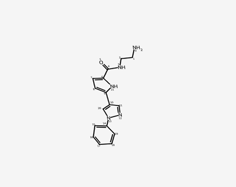 NCCNC(=O)c1ccc(-c2cnn(-c3ccccc3)c2)[nH]1